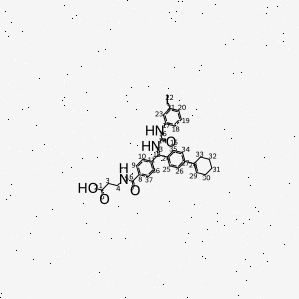 O=C(O)CCNC(=O)c1ccc(C(NC(=O)Nc2cccc(I)c2)c2ccc(C3=CCCCC3)cc2)cc1